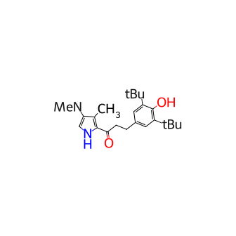 CNc1c[nH]c(C(=O)CCc2cc(C(C)(C)C)c(O)c(C(C)(C)C)c2)c1C